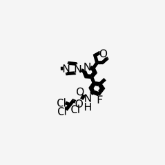 Cc1cc(F)c(NC(=O)OCC(Cl)(Cl)Cl)cc1-c1cc(C2CCOCC2)nc(N2CCN(C)CC2)c1